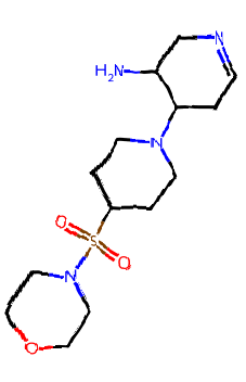 NC1CN=CCC1N1CCC(S(=O)(=O)N2CCOCC2)CC1